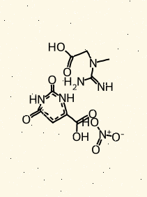 CN(CC(=O)O)C(=N)N.O=C(O)c1cc(=O)[nH]c(=O)[nH]1.O=[N+]([O-])O